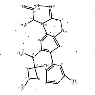 Cc1cccc(-c2cc3c(cc2N(C)C2(C)CN(C)C2)N2C(=NNC(=O)C2C)CO3)c1